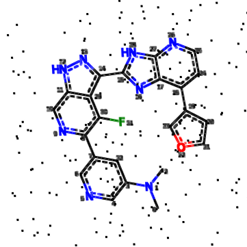 CN(C)c1cncc(-c2ncc3[nH]nc(-c4nc5c(-c6ccoc6)ccnc5[nH]4)c3c2F)c1